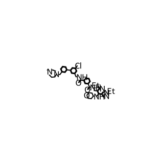 CCc1nc2c(cnn2CC)c(NC2CCOCC2)c1CNC(=O)c1cccc(C(=O)NCc2cc(Cl)cc(-c3cccc(CN4CCCN(C)CC4)c3)c2)c1